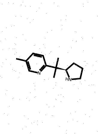 Cc1ccc(C(C)(C)[C@H]2CCCN2)nc1